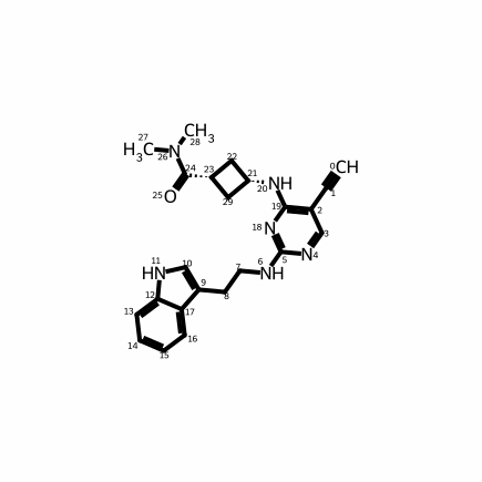 C#Cc1cnc(NCCc2c[nH]c3ccccc23)nc1N[C@H]1C[C@@H](C(=O)N(C)C)C1